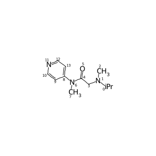 CC(C)N(C)CC(=O)N(C)c1ccncc1